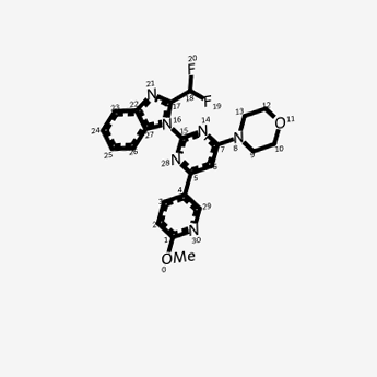 COc1ccc(-c2cc(N3CCOCC3)nc(-n3c(C(F)F)nc4ccccc43)n2)cn1